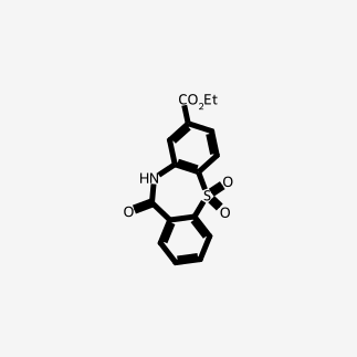 CCOC(=O)c1ccc2c(c1)NC(=O)c1ccccc1S2(=O)=O